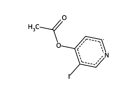 CC(=O)Oc1c[c]ncc1I